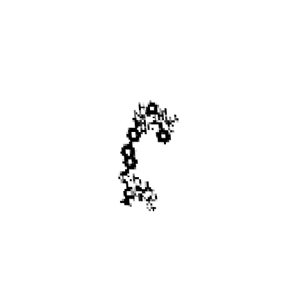 COC(=O)N[C@H](C(=O)N1CC2(CC2)C[C@H]1c1ncc(-c2ccc3cc(-c4ccc(-c5cnc([C@@H]6[C@H]7CC[C@H](C7)N6C(=O)[C@H](NC(=O)OC)c6ccccc6)[nH]5)cc4)ccc3c2)[nH]1)C(C)C